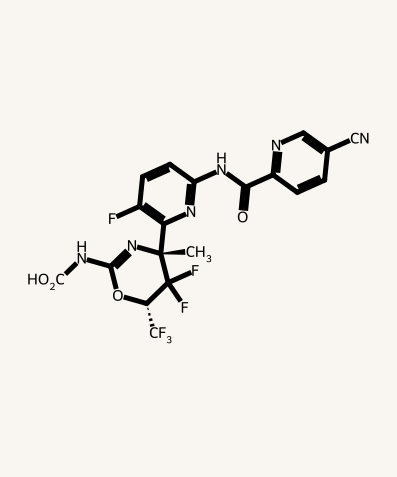 C[C@]1(c2nc(NC(=O)c3ccc(C#N)cn3)ccc2F)N=C(NC(=O)O)O[C@@H](C(F)(F)F)C1(F)F